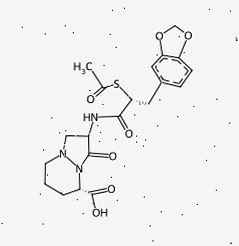 CC(=O)S[C@H](Cc1ccc2c(c1)OCO2)C(=O)NC1CN2CCC[C@@H](C(=O)O)N2C1=O